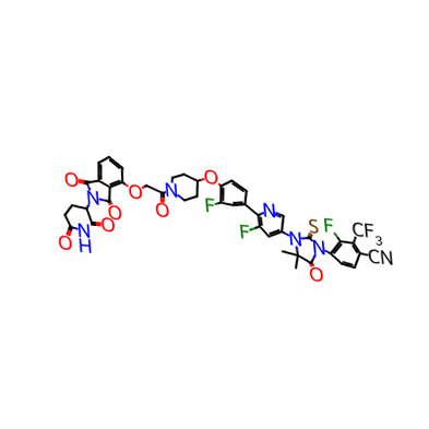 CC1(C)C(=O)N(c2ccc(C#N)c(C(F)(F)F)c2F)C(=S)N1c1cnc(-c2ccc(OC3CCN(C(=O)COc4cccc5c4C(=O)N(C4CCC(=O)NC4=O)C5=O)CC3)c(F)c2)c(F)c1